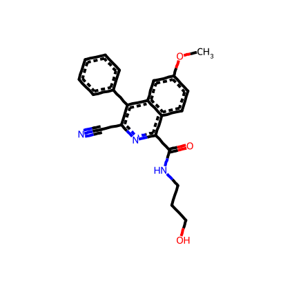 COc1ccc2c(C(=O)NCCCO)nc(C#N)c(-c3ccccc3)c2c1